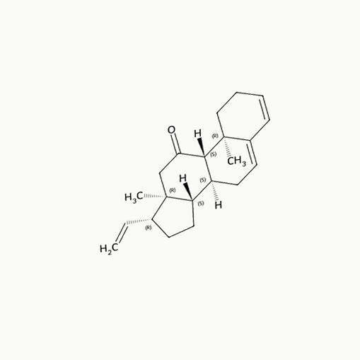 C=C[C@H]1CC[C@H]2[C@@H]3CC=C4C=CCC[C@]4(C)[C@H]3C(=O)C[C@]12C